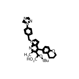 Cc1nc2c(ccn2Cc2ccc(-n3cncn3)cc2)c(-c2ccc3c(c2)CCCO3)c1C(OC(C)(C)C)C(=O)O